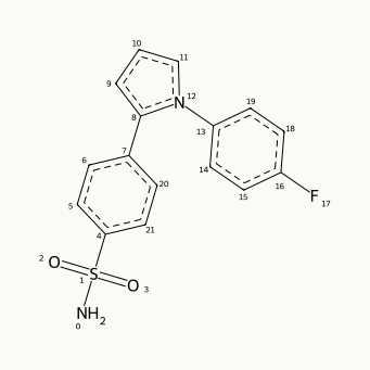 NS(=O)(=O)c1ccc(-c2cccn2-c2ccc(F)cc2)cc1